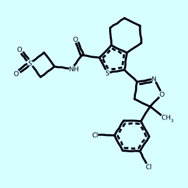 CC1(c2cc(Cl)cc(Cl)c2)CC(c2sc(C(=O)NC3CS(=O)(=O)C3)c3c2CCCC3)=NO1